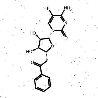 Nc1nc(=O)n([C@@H]2O[C@H](CC(=O)c3ccccc3)[C@@H](O)[C@H]2O)cc1F